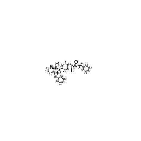 O=C(NCC1CCC(C(=O)Nc2ncccc2OCc2ccccc2)CC1)OCc1ccccc1